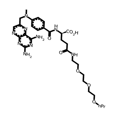 CCCOCCOCCOCCNC(=O)CC[C@@H](NC(=O)c1ccc(N(C)Cc2cnc3nc(N)nc(N)c3n2)cc1)C(=O)O